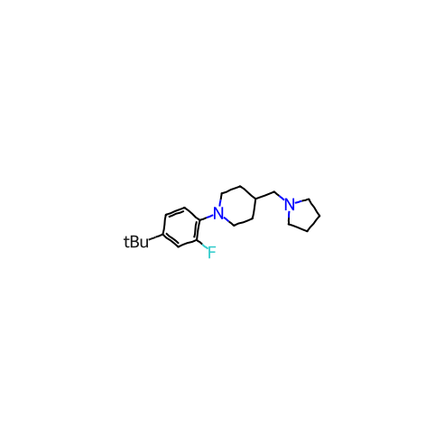 CC(C)(C)c1ccc(N2CCC(CN3CCCC3)CC2)c(F)c1